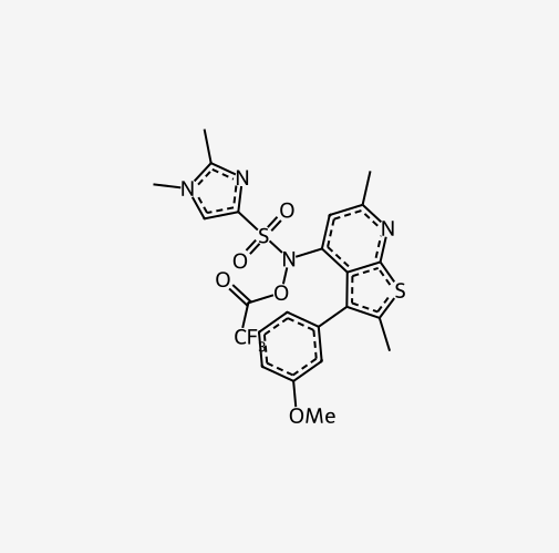 COc1cccc(-c2c(C)sc3nc(C)cc(N(OC(=O)C(F)(F)F)S(=O)(=O)c4cn(C)c(C)n4)c23)c1